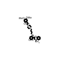 COc1cc(OC)c(OC)cc1CCN1CCN(CCCCOc2ccccc2C2(C(C)C)Sc3ccccc3N(C)C2C=O)CC1